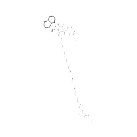 CCCCCCCCCCCCCCCCCCCCCCCCCC(C(C)C)N1C(=O)c2cccc3cccc(c23)C1=O